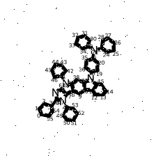 c1ccc(-c2nc3c(c4cc5c6ccccc6n(-c6ccc(N(c7ccccc7)c7ccccc7)cc6)c5cc4n3-c3ccccc3)n2-c2ccccc2)cc1